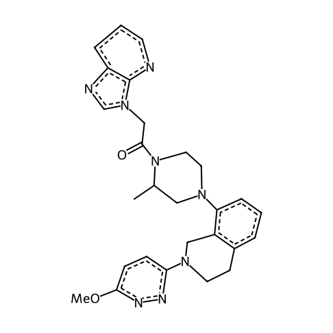 COc1ccc(N2CCc3cccc(N4CCN(C(=O)Cn5cnc6cccnc65)C(C)C4)c3C2)nn1